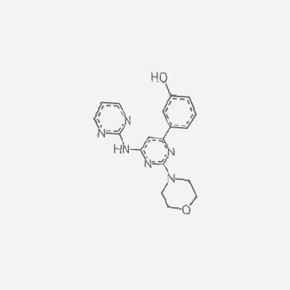 Oc1cccc(-c2cc(Nc3ncccn3)nc(N3CCOCC3)n2)c1